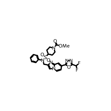 COC(=O)N1CCC(S(=O)(=O)N(Cc2cn3ccc(-c4nnc(C(F)F)o4)cc3n2)c2ccccc2)CC1